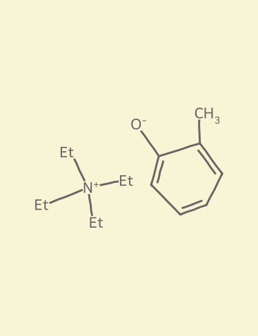 CC[N+](CC)(CC)CC.Cc1ccccc1[O-]